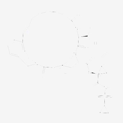 C=C[C@@H]1C[C@]1(NC(=O)[C@@H]1C[C@@H]2CN1C(=O)[C@H](C(C)C)NC(=O)OCCCC/C=C/c1cccc3c1CN(C3)C(=O)O2)C(=O)NS(=O)(=O)C1CC1